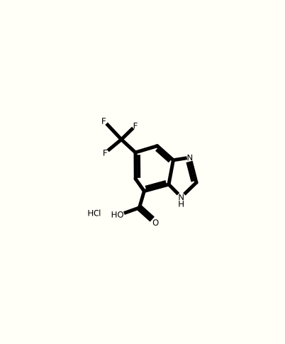 Cl.O=C(O)c1cc(C(F)(F)F)cc2nc[nH]c12